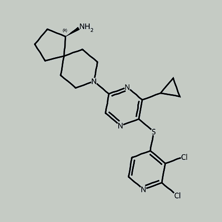 N[C@@H]1CCCC12CCN(c1cnc(Sc3ccnc(Cl)c3Cl)c(C3CC3)n1)CC2